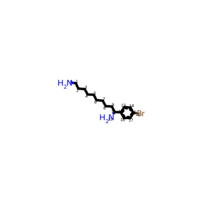 NCCCCCCCCCC(N)c1ccc(Br)cc1